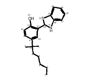 CCCCCC(C)(C)c1ccc(O)c(C2Nc3ccccc3S2)c1